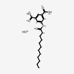 CCCCCCCCCCCC(=O)Oc1cc(C(=O)O)cc(C(=O)O)c1.Cl